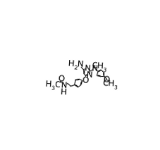 COc1ccc(N(C)c2nc(CN)cc(Oc3ccc(CCNC(C)=O)cc3)n2)cc1